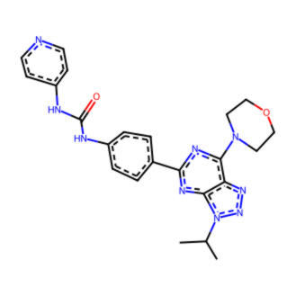 CC(C)n1nnc2c(N3CCOCC3)nc(-c3ccc(NC(=O)Nc4ccncc4)cc3)nc21